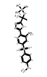 CC(C)[Si](OC(C)(c1nnc(-c2ncc(S(=O)(=O)c3ccc(OC(F)(F)F)cc3)cc2N)o1)C(F)(F)F)(C(C)C)C(C)C